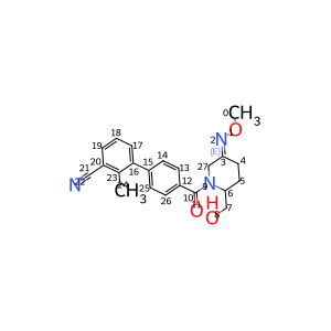 CO/N=C1\CCC(CO)N(C(=O)c2ccc(-c3cccc(C#N)c3C)cc2)C1